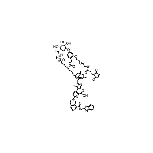 Cc1c(-c2ccc(N3CCc4cccc(C(=O)Nc5nc6ccccc6s5)c4C3)nc2C(=O)O)cnn1CC12CC3(C)CC(C)(C1)CC(OCCN(CCCS(=O)(=O)O)C(=O)OCc1ccc(O[C@@H]4C[C@H](C(=O)O)[C@@H](O)[C@H](O)[C@H]4O)cc1OCCOCCNC(=O)CCN1C(=O)C=CC1=O)(C3)C2